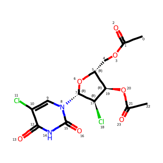 CC(=O)OC[C@H]1O[C@@H](n2cc(Cl)c(=O)[nH]c2=O)[C@H](Cl)[C@@H]1OC(C)=O